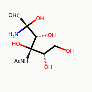 CC(=O)N[C@@](O)([C@@H](O)[C@](N)(O)C=O)[C@@H](O)CO